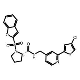 O=C(NCc1ccnc(-c2cc(Cl)cs2)c1)[C@@H]1CCCN1S(=O)(=O)c1cc2ccccc2o1